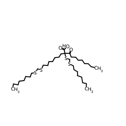 CCCCCCCCSCSCCCCCCCC(SCSCCCCCCCC)(C(=O)O)C(=O)CCCCCCCC